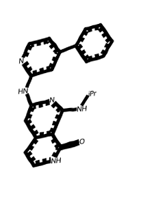 CC(C)Nc1nc(Nc2cc(-c3ccccc3)ccn2)cc2cc[nH]c(=O)c12